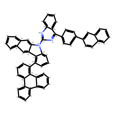 c1ccc2cc(-c3ccc(-c4nc(-n5c6cc7ccccc7cc6c6c(-c7cccc8c9ccccc9c9ccccc9c78)cccc65)nc5ccccc45)cc3)ccc2c1